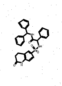 O=C1CCc2cc(S(=O)(=O)NC(C(=O)NC(c3ccccc3)c3ccccc3)c3ccccc3)ccc2N1